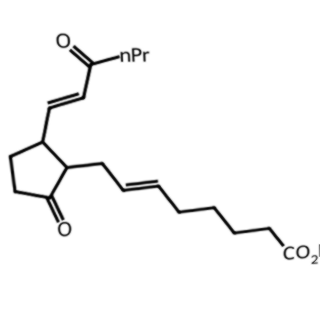 CCCC(=O)C=CC1CCC(=O)C1CC=CCCCCC(=O)O